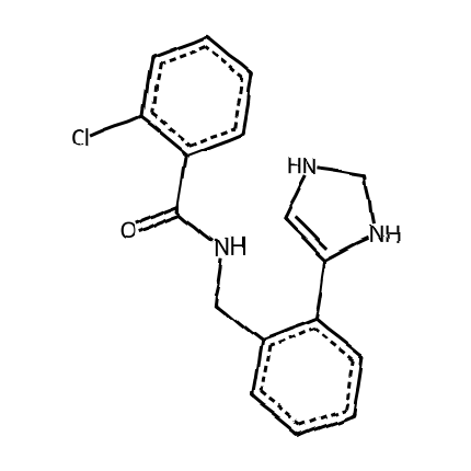 O=C(NCc1ccccc1C1=CNCN1)c1ccccc1Cl